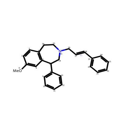 COc1ccc2c(c1)C(c1ccccc1)CN(C/C=C/c1ccccc1)CC2